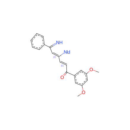 CNC(=C\C(=N)c1ccccc1)/C=C/C(=O)c1cc(OC)cc(OC)c1